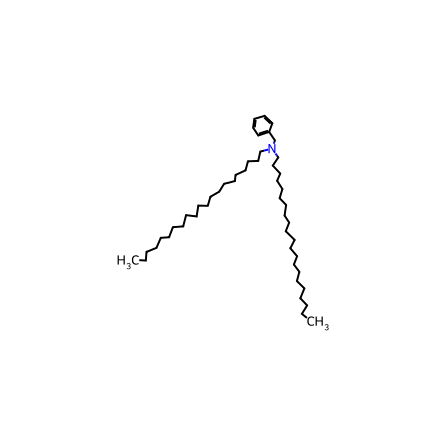 CCCCCCCCCCCCCCCCCCCCCN(CCCCCCCCCCCCCCCCCCCCC)Cc1ccccc1